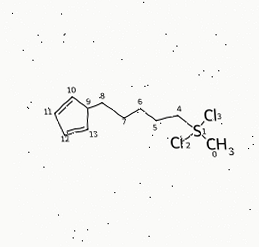 CS(Cl)(Cl)CCCCCC1C=CC=C1